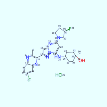 Cc1nc2ccc(F)cc2nc1-c1cc2nc(N3CC[C@@H](F)C3)cc(N[C@H]3CC[C@](C)(O)CC3)n2n1.Cl